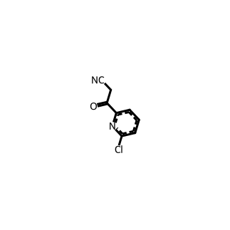 N#CCC(=O)c1cccc(Cl)n1